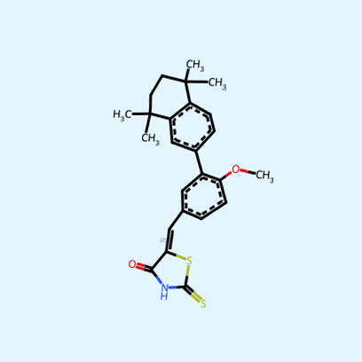 COc1ccc(/C=C2\SC(=S)NC2=O)cc1-c1ccc2c(c1)C(C)(C)CCC2(C)C